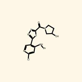 CC(C)Nc1cc(Cl)ncc1-c1nnc(C(=O)N2CCC(O)C2)s1